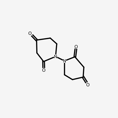 O=C1CCN(N2CCC(=O)CC2=O)C(=O)C1